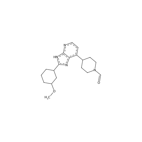 COC1CCCC(c2nc3c(C4CCN(C=O)CC4)ccnc3[nH]2)C1